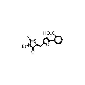 CCN1C(=O)/C(=C/c2ccc(-c3ccccc3C(=O)O)o2)SC1=S